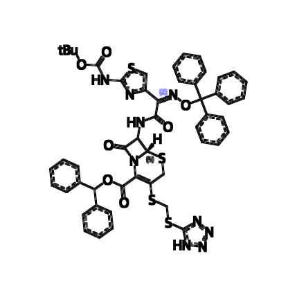 CC(C)(C)OC(=O)Nc1nc(/C(=N/OC(c2ccccc2)(c2ccccc2)c2ccccc2)C(=O)NC2C(=O)N3C(C(=O)OC(c4ccccc4)c4ccccc4)=C(SCSc4nnn[nH]4)CS[C@@H]23)cs1